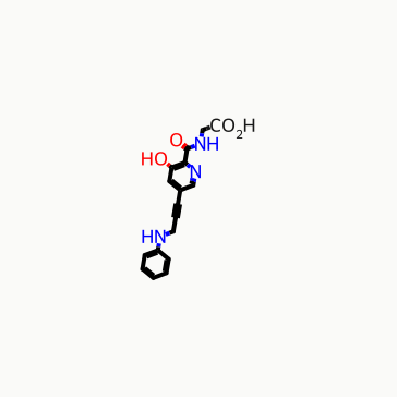 O=C(O)CNC(=O)c1ncc(C#CCNc2ccccc2)cc1O